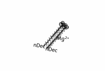 CCCCCCCCCCCCCCCCCCCCCCCCCCCCCCS(=O)(=O)[O-].CCCCCCCCCCCCCCCCCCCCCCCCCCCCCCS(=O)(=O)[O-].[Mg+2]